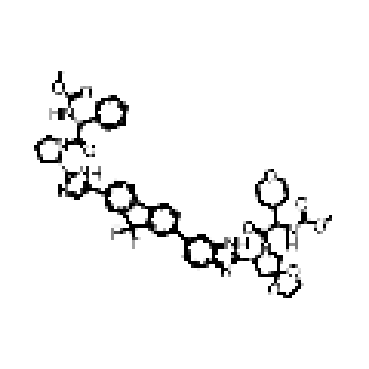 COC(=O)NC(C(=O)N1CC2(C[C@H]1c1nc3ccc(-c4ccc5c(c4)C(F)(F)c4cc(-c6cnc([C@@H]7CCCN7C(=O)[C@H](NC(=O)OC)c7ccccc7)[nH]6)ccc4-5)cc3[nH]1)OCCO2)C1CCOCC1